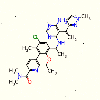 C=C(c1ccn(C)n1)c1c(N)ncnc1NC(C)c1cc(Cl)c(C)c(-c2ccc(C(=O)N(C)C)nc2)c1OCC